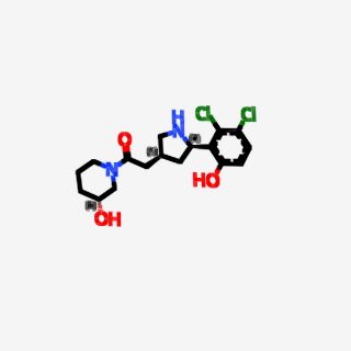 O=C(C[C@H]1CN[C@@H](c2c(O)ccc(Cl)c2Cl)C1)N1CCC[C@@H](O)C1